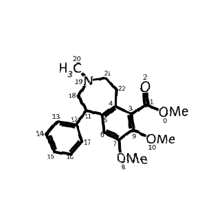 COC(=O)c1c2c(cc(OC)c1OC)C(c1ccccc1)CN(C)CC2